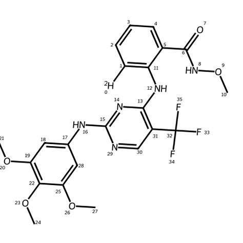 [2H]c1cccc(C(=O)NOC)c1Nc1nc(Nc2cc(OC)c(OC)c(OC)c2)ncc1C(F)(F)F